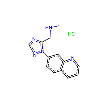 CNCc1ncnn1-c1ccc2cccnc2c1.Cl